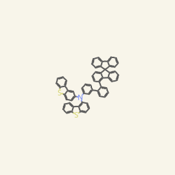 c1cc(-c2ccccc2-c2cccc3c2-c2ccccc2C32c3ccccc3-c3ccccc32)cc(N(c2ccc3sc4ccccc4c3c2)c2cccc3sc4ccccc4c23)c1